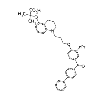 CCCc1cc(C(=O)c2ccc(-c3ccccc3)cc2)ccc1OCCCN1CCCc2c(OC(C)(C)C(=O)O)cccc21